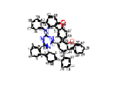 c1ccc(-c2ccccc2-c2nc(-c3cc(-c4ccccc4)c4c(c3)oc3ccccc34)nc(-n3c4ccccc4c4ccc5oc6ccccc6c5c43)n2)cc1